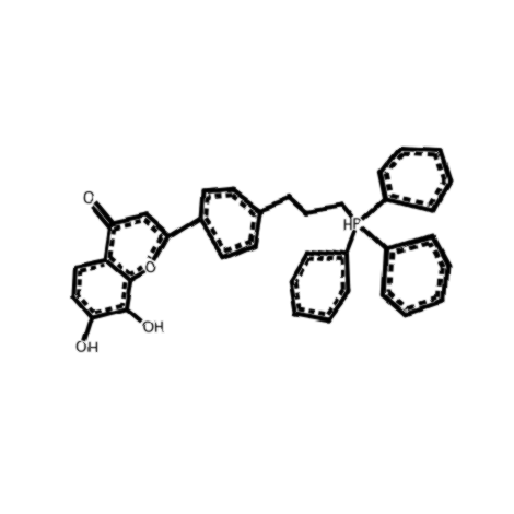 O=c1cc(-c2ccc(CCC[PH](c3ccccc3)(c3ccccc3)c3ccccc3)cc2)oc2c(O)c(O)ccc12